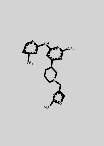 Cc1ccnc(Nc2cc(C3CCCN(Cc4coc(C)n4)C3)nc(C)n2)c1